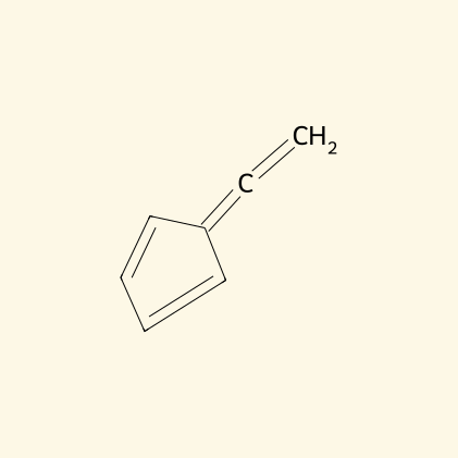 C=C=C1C=CC=C1